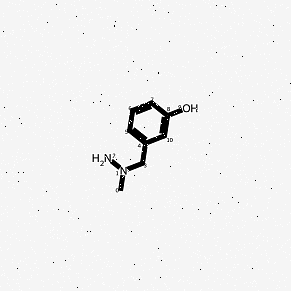 CN(N)Cc1cccc(O)c1